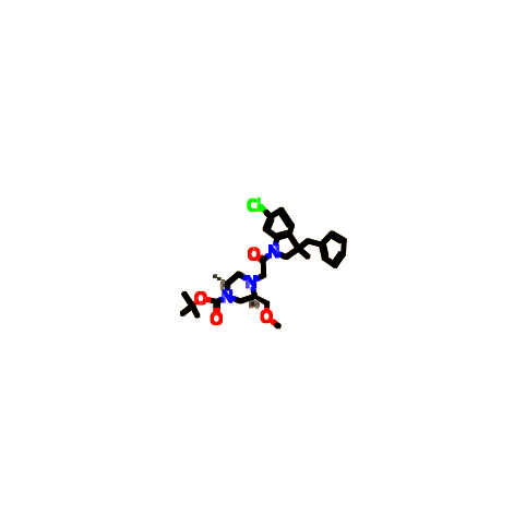 COC[C@H]1CN(C(=O)OC(C)(C)C)[C@H](C)CN1CC(=O)N1CC(C)(Cc2ccccc2)c2ccc(Cl)cc21